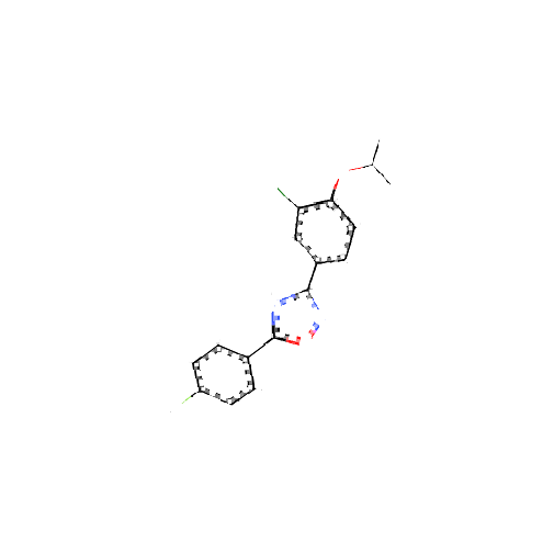 CC(C)Oc1ccc(-c2noc(-c3ccc(F)cc3)n2)cc1Cl